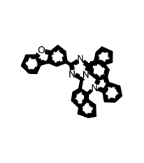 c1ccc(-c2nc(-c3ccc4oc5ccccc5c4c3)nc(-c3ccc4ccccc4c3-n3c4ccccc4c4ccccc43)n2)cc1